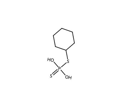 OP(O)(=S)SC1CCCCC1